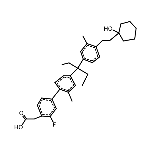 CCC(CC)(c1ccc(CCC2(O)CCCCC2)c(C)c1)c1ccc(-c2ccc(CC(=O)O)c(F)c2)c(C)c1